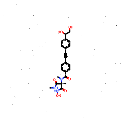 CNC(=O)[C@@](C)(C(=O)NO)N(C)C(=O)c1ccc(C#Cc2ccc(C(O)CO)cc2)cc1